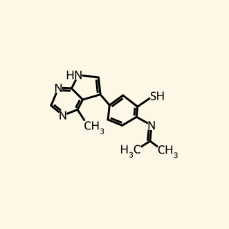 CC(C)=Nc1ccc(-c2c[nH]c3ncnc(C)c23)cc1S